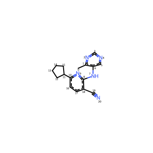 Cc1ncncc1Nc1nc(C2CCCC2)ccc1C#N